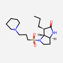 CCC[C@H]1C(=O)N[C@H]2CCN(S(=O)(=O)CCCN3CCCCC3)[C@@H]21